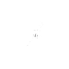 c1ccc(-c2ccc(-c3ccc(-c4nc(-c5ccccc5)nc(-c5cccc6oc7c(-c8ccc9c(ccc%10ccccc%109)c8)cccc7c56)n4)cc3)cc2)cc1